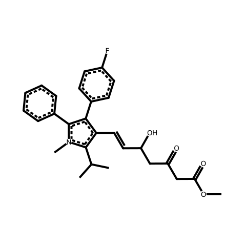 COC(=O)CC(=O)CC(O)/C=C/c1c(-c2ccc(F)cc2)c(-c2ccccc2)n(C)c1C(C)C